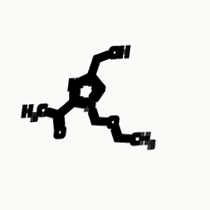 CCOCn1cc(CO)nc1C(C)=O